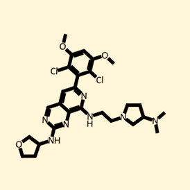 COc1cc(OC)c(Cl)c(-c2cc3cnc(NC4CCOC4)nc3c(NCCN3CCC(N(C)C)C3)n2)c1Cl